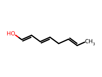 CC=CCC=CC=CO